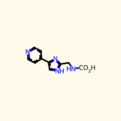 O=C(O)NCc1nc(-c2ccncc2)c[nH]1